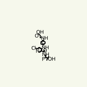 CC(C)(O)[C@H](F)CNC(=O)c1cnc(Cl)cc1NC12CCC(NCCC(=O)O)(CC1)CC2